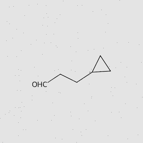 O=CCC[C]1CC1